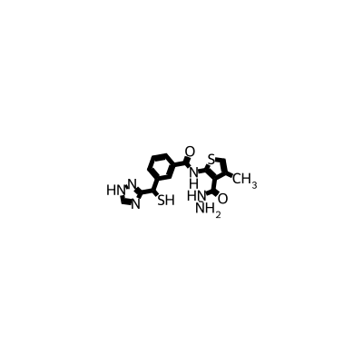 Cc1csc(NC(=O)c2cccc(C(S)c3nc[nH]n3)c2)c1C(=O)NN